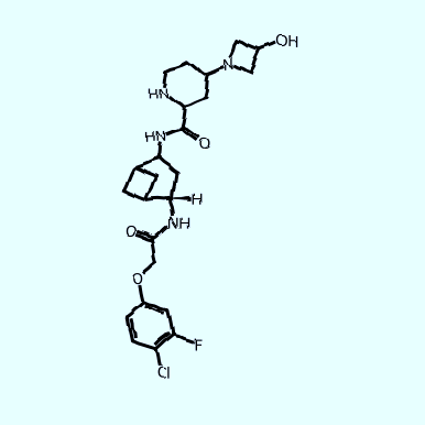 O=C(COc1ccc(Cl)c(F)c1)N[C@H]1CC(NC(=O)C2CC(N3CC(O)C3)CCN2)C2CC1C2